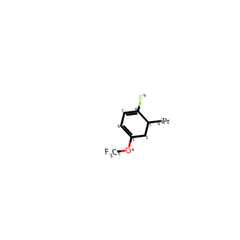 CC(C)C1CC(OC(F)(F)F)=CC=C1F